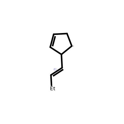 CC/C=C/C1[CH]CC=C1